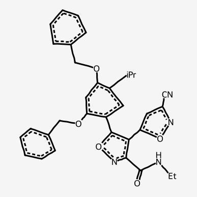 CCNC(=O)c1noc(-c2cc(C(C)C)c(OCc3ccccc3)cc2OCc2ccccc2)c1-c1cc(C#N)no1